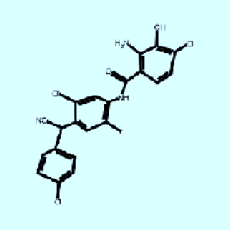 Cc1cc(C(C#N)c2ccc(Cl)cc2)c(Cl)cc1NC(=O)c1ccc(Cl)c(O)c1N